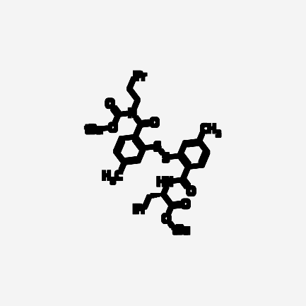 Cc1ccc(C(=O)N[C@@H](CC(C)C)C(=O)OC(C)(C)C)c(SSc2cc(C)ccc2C(=O)N(CCC(C)C)C(=O)OC(C)(C)C)c1